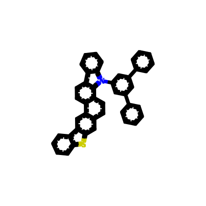 c1ccc(-c2cc(-c3ccccc3)cc(-n3c4ccccc4c4ccc5c6cc7c(cc6ccc5c43)sc3ccccc37)c2)cc1